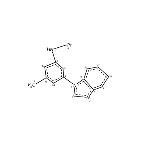 CC(C)Nc1cc(-n2cnc3ccccc32)cc(C(F)(F)F)c1